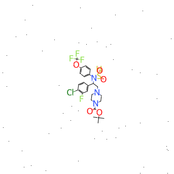 CC(C)(C)OC(=O)N1CCN(CC(c2ccc(Cl)c(F)c2)N(c2ccc(OC(F)(F)F)cc2)[SH](=O)=O)CC1